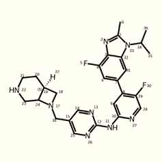 Cc1nc2c(F)cc(-c3cc(Nc4ncc(CN5C[C@@H]6CCNCC65)cn4)ncc3F)cc2n1C(C)C